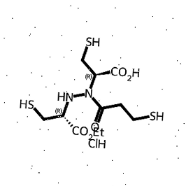 CCOC(=O)[C@H](CS)NN(C(=O)CCS)[C@@H](CS)C(=O)O.Cl